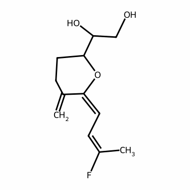 C=C1CCC(C(O)CO)O/C1=C/C=C(\C)F